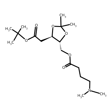 CN(C)CCCC(=O)OC[C@H]1OC(C)(C)O[C@@H]1CC(=O)OC(C)(C)C